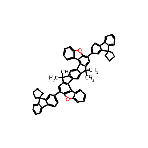 CC1(C)c2cc3c(cc2-c2c1cc(-c1ccc4c(c1)C1(CCCC1)c1ccccc1-4)c1oc4ccccc4c21)C(C)(C)c1cc(-c2ccc4c(c2)C2(CCCC2)c2ccccc2-4)c2oc4ccccc4c2c1-3